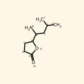 CC(C)CC(N)C1CCC(=O)O1